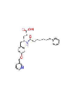 O=C(O)CCC(Cc1ccc(OCc2cccnc2)cc1)NC(=O)CCCCCCc1ccccc1